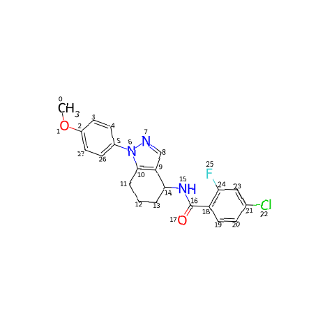 COc1ccc(-n2ncc3c2CCCC3NC(=O)c2ccc(Cl)cc2F)cc1